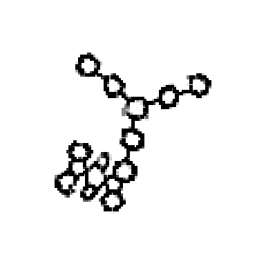 c1ccc(-c2ccc(-c3cc(-c4ccc(-c5ccccc5)cc4)nc(-c4ccc(-c5ccc6c(c5)C5(c7ccccc7-6)c6ccccc6C6(c7ccccc7-c7ccccc76)c6ccccc65)cc4)n3)cc2)cc1